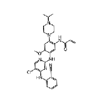 C=CC(=O)Nc1cc(Nc2ncc(Cl)c(Nc3ccccc3C#N)n2)c(OC)cc1N1CCN(C(C)C)CC1